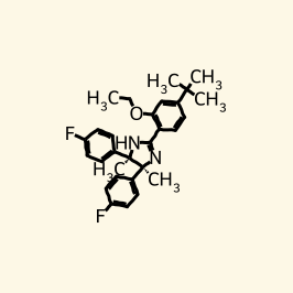 CCOc1cc(C(C)(C)C)ccc1C1=N[C@@](C)(c2ccc(F)cc2)[C@@](C)(c2ccc(F)cc2)N1